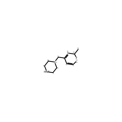 C/C=C\C(CN1CCNCC1)=N/C(C)F